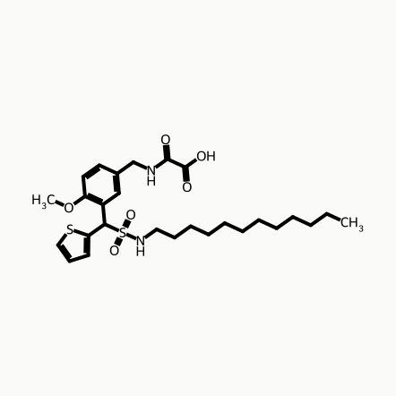 CCCCCCCCCCCCNS(=O)(=O)C(c1cccs1)c1cc(CNC(=O)C(=O)O)ccc1OC